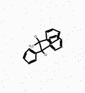 CC([O])(c1ccccc1)C([O])(c1ccccc1)c1ccccc1